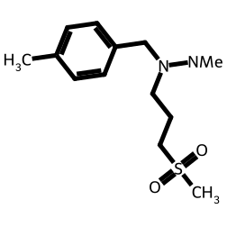 CNN(CCCS(C)(=O)=O)Cc1ccc(C)cc1